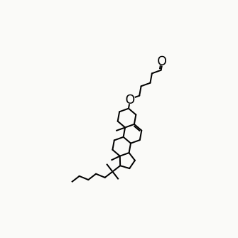 CCCCCC(C)(C)C1CCC2C3CC=C4CC(OCCCCC=O)CCC4(C)C3CCC21C